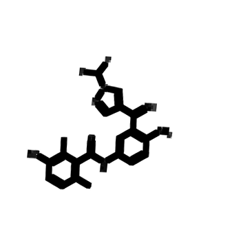 Cc1ccc(C#N)c(C)c1C(=O)Nc1ccc(N)c(C(=N)c2cnn(C(F)F)c2)c1